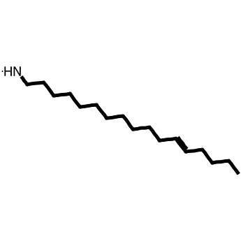 CCCC/C=C/CCCCCCCCCCC[NH]